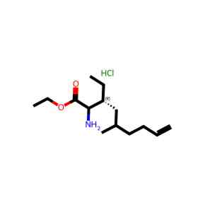 C=CCCC(C)C[C@@H](CC)C(N)C(=O)OCC.Cl